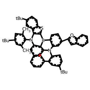 Cc1cc(C(C)(C)C)cc(C)c1N1c2cccc3c2B(c2ccc(-c4cc5ccccc5o4)cc2N3c2ccc(C(C)(C)C)cc2-c2ccccc2)c2sc3ccc(C(C)(C)C)cc3c21